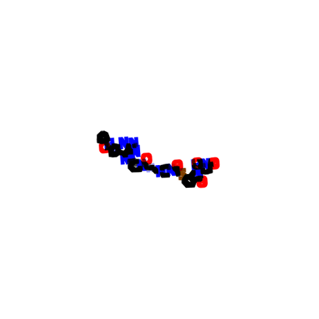 Nc1ncnc2c1c(-c1ccc(Oc3ccccc3)cc1)nn2[C@@H]1CCCN(C(=O)/C=C/CN2CCN(C(=O)CSc3cccc4c3CN(C3CCC(=O)NC3=O)C4=O)CC2)C1